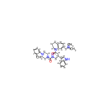 Cc1ccccc1N1CCN(C(=O)NC[C@@H](CC(=O)N2CCCc3ccc(CN(C)C)cc32)c2c[nH]c3ccccc23)CC1